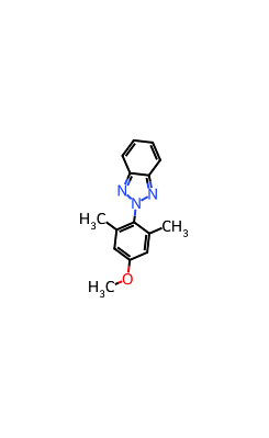 COc1cc(C)c(-n2nc3ccccc3n2)c(C)c1